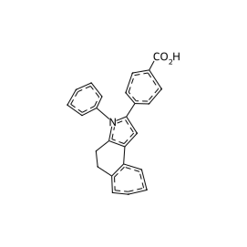 O=C(O)c1ccc(-c2cc3c(n2-c2ccccc2)CCc2ccccc2-3)cc1